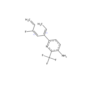 C=C/C(F)=C\C(=C/C)c1ccc(N)c(C(F)(F)F)n1